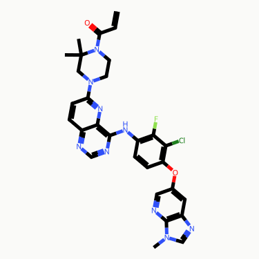 C=CC(=O)N1CCN(c2ccc3ncnc(Nc4ccc(Oc5cnc6c(c5)ncn6C)c(Cl)c4F)c3n2)CC1(C)C